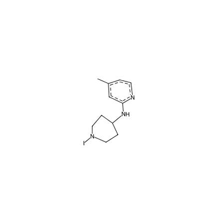 Cc1ccnc(NC2CCN(I)CC2)c1